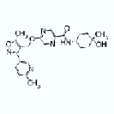 Cc1ccc(-c2noc(C)c2COc2cnc(C(=O)N[C@H]3CC[C@@](C)(O)CC3)cn2)cn1